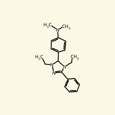 CCN1N=C(c2ccccc2)N(CC)C1c1ccc(N(C)C)cc1